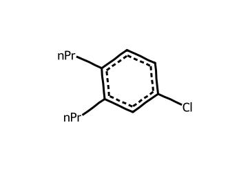 [CH2]CCc1ccc(Cl)cc1CCC